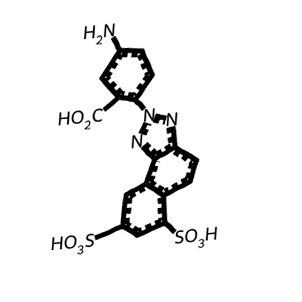 Nc1ccc(-n2nc3ccc4c(S(=O)(=O)O)cc(S(=O)(=O)O)cc4c3n2)c(C(=O)O)c1